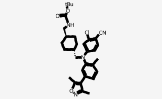 Cc1ccc(-c2c(C)noc2C)cc1N(C[C@H]1CC[C@H](CNC(=O)OC(C)(C)C)CC1)c1ccc(C#N)c(Cl)c1